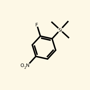 C[Si](C)(C)c1ccc([N+](=O)[O-])cc1F